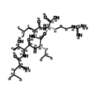 CC(C)C[C@H](NC(=O)[C@H](CC(C)C)NC(=O)[C@@H](NC(=O)[C@@H](N)CC(C)C)[C@@H](C)O)C(=O)N[C@@H](CCCNC(=N)N)C(=O)O